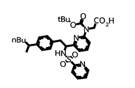 CCCCC(C)c1ccc(CC(NS(=O)(=O)c2ccccn2)c2cccc(N(CC(=O)O)C(=O)OC(C)(C)C)n2)cc1